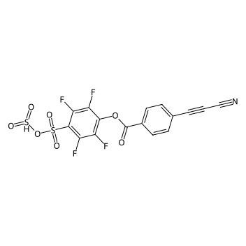 N#CC#Cc1ccc(C(=O)Oc2c(F)c(F)c(S(=O)(=O)O[SH](=O)=O)c(F)c2F)cc1